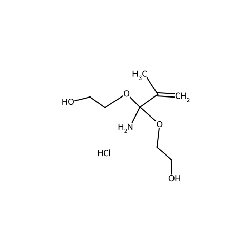 C=C(C)C(N)(OCCO)OCCO.Cl